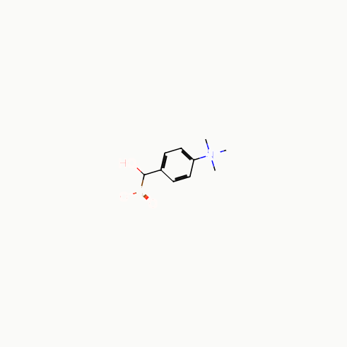 C[N+](C)(C)c1ccc(C(O)S(=O)[O-])cc1